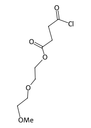 COCCOCCOC(=O)CCC(=O)Cl